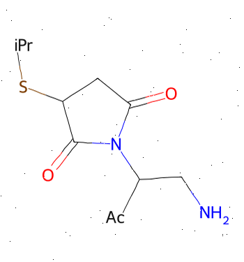 CC(=O)C(CN)N1C(=O)CC(SC(C)C)C1=O